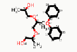 CC(O)COC(C)COC(C)CO.c1ccc(Oc2ccccc2)cc1